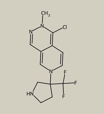 CN1N=CC2=CN(C3(C(F)(F)F)CCNC3)C=CC2=C1Cl